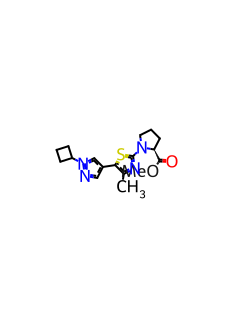 COC(=O)[C@@H]1CCCN1c1nc(C)c(-c2cnn(C3CCC3)c2)s1